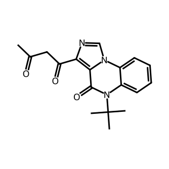 CC(=O)CC(=O)c1ncn2c1c(=O)n(C(C)(C)C)c1ccccc12